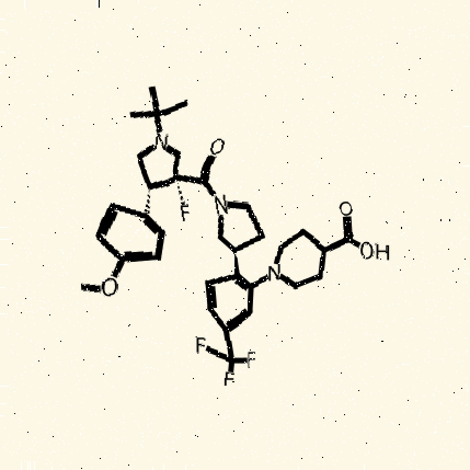 COc1ccc([C@@H]2CN(C(C)(C)C)C[C@@]2(F)C(=O)N2CC[C@@H](c3ccc(C(F)(F)F)cc3N3CCC(C(=O)O)CC3)C2)cc1